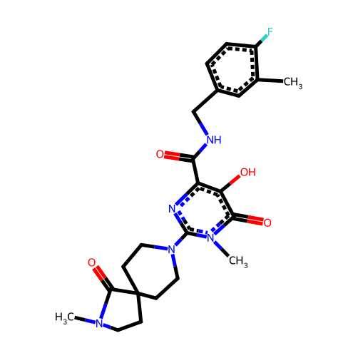 Cc1cc(CNC(=O)c2nc(N3CCC4(CCN(C)C4=O)CC3)n(C)c(=O)c2O)ccc1F